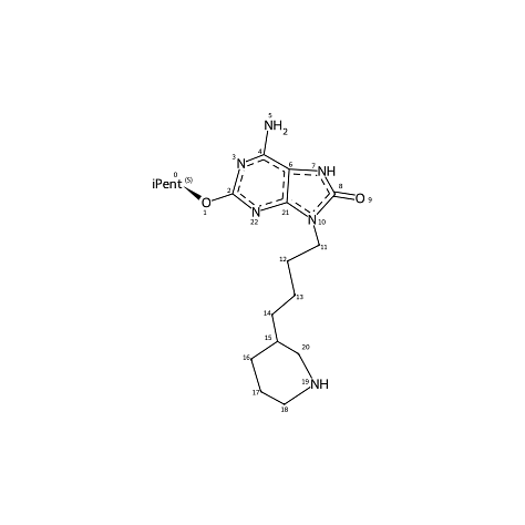 CCC[C@H](C)Oc1nc(N)c2[nH]c(=O)n(CCCCC3CCCNC3)c2n1